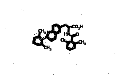 Cc1cccc(Cl)c1C(=O)NC(Cc1ccc2nc(-c3c(C)cccc3C)ccc2c1)C(=O)O